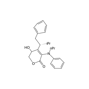 CCCN(C1=C([C@H](Cc2ccccc2)C(C)C)C(O)COC1=O)c1ccccc1